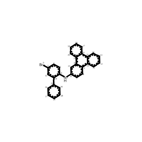 Brc1ccc(Nc2ccc3c4ccccc4c4ccccc4c3c2)c(-c2ccccc2)c1